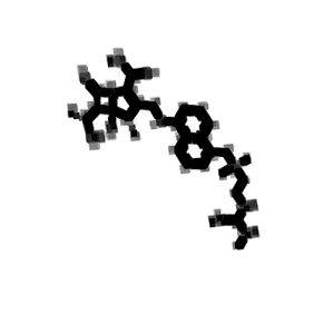 CNC(=N)NCC[N+](C)(C)Cc1cccc2c(OCC3=C(C(=O)O)N4C(=O)[C@H]([C@@H](C)O)[C@H]4[C@H]3C)cccc12